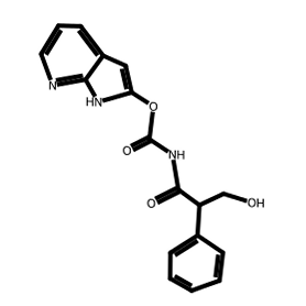 O=C(NC(=O)C(CO)c1ccccc1)Oc1cc2cccnc2[nH]1